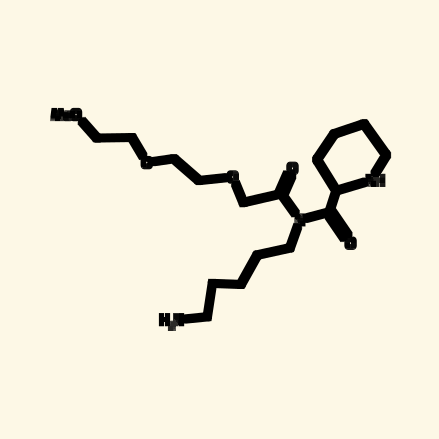 COCCOCCOCC(=O)N(CCCCCN)C(=O)C1CCCCN1